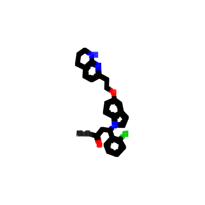 COC(=O)CC(c1ccccc1Cl)n1ccc2cc(OCCc3ccc4c(n3)NCCC4)ccc21